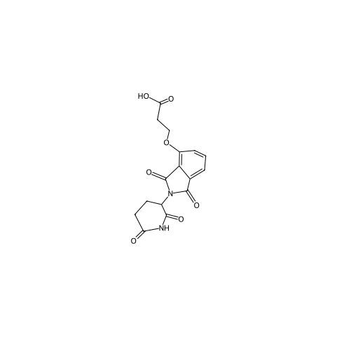 O=C(O)CCOc1cccc2c1C(=O)N(C1CCC(=O)NC1=O)C2=O